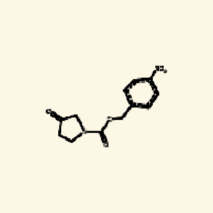 O=C1CCN(C(=O)OCc2ccc([N+](=O)[O-])cc2)C1